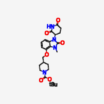 Cn1c(=O)n(C2CCC(=O)NC2=O)c2cccc(OCC3CCN(C(=O)OC(C)(C)C)CC3)c21